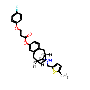 Cc1ccc(CN[C@H]2[C@@H]3CC[C@H]2Cc2ccc(OC(=O)CCOc4ccc(F)cc4)cc2C3)s1